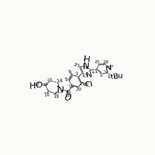 CC(C)(C)c1cc(-c2nc(-c3ccc(C(=O)N4CCC(O)CC4)cc3Cl)c[nH]2)ccn1